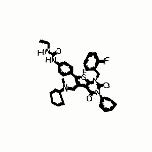 CCNC(=O)Nc1ccc(-c2sc3c(c2CN(C)C2CCCCC2)c(=O)n(-c2ccccc2)c(=O)n3Cc2c(F)cccc2F)cc1